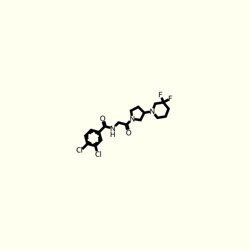 O=C(NCC(=O)N1CCC(N2CCCC(F)(F)C2)C1)c1ccc(Cl)c(Cl)c1